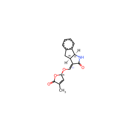 CC1=C[C@H](O/C=C2/C(=O)N[C@@H]3c4ccccc4C[C@H]23)OC1=O